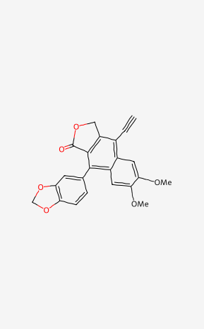 C#Cc1c2c(c(-c3ccc4c(c3)OCO4)c3cc(OC)c(OC)cc13)C(=O)OC2